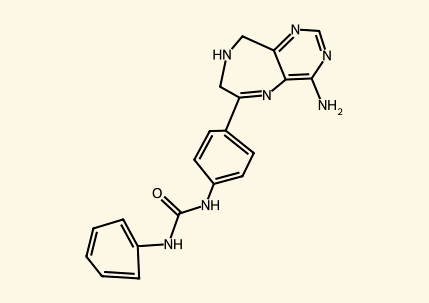 Nc1ncnc2c1N=C(c1ccc(NC(=O)Nc3ccccc3)cc1)CNC2